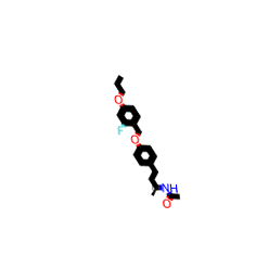 CCCOc1ccc(COc2ccc(CC[C@H](C)NC(C)=O)cc2)c(F)c1